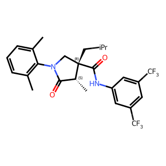 Cc1cccc(C)c1N1C[C@](CC(C)C)(C(=O)Nc2cc(C(F)(F)F)cc(C(F)(F)F)c2)[C@H](C)C1=O